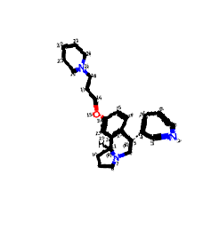 c1cncc([C@@H]2CN3CCC[C@@H]3c3cc(OCCCN4CCCCC4)ccc32)c1